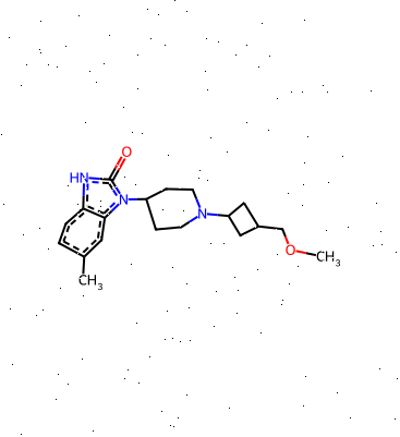 COCC1CC(N2CCC(n3c(=O)[nH]c4ccc(C)cc43)CC2)C1